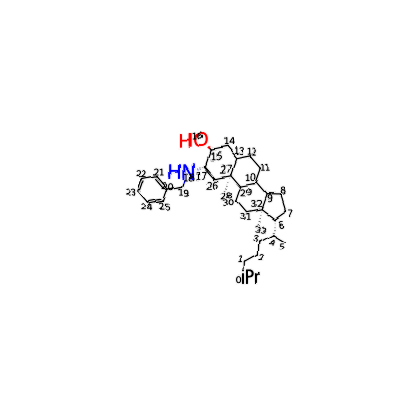 CC(C)CCCC(C)[C@H]1CCC2C3CCC4C[C@H](O)[C@@H](NCc5ccccc5)C[C@]4(C)C3CC[C@@]21C